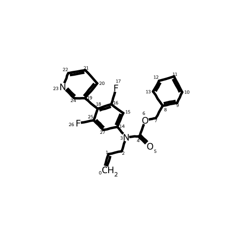 C=CCN(C(=O)OCc1ccccc1)c1cc(F)c(-c2cccnc2)c(F)c1